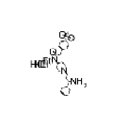 CCN(C(=O)Cc1ccc(S(C)(=O)=O)cc1)C1CCN(CCC(N)c2ccccc2)CC1.Cl.Cl